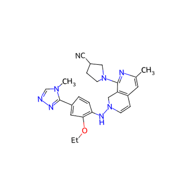 CCOc1cc(-c2nncn2C)ccc1NN1C=Cc2cc(C)nc(N3CCC(C#N)C3)c2C1